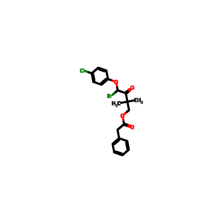 CC(C)(COC(=O)Cc1ccccc1)C(=O)C(Br)Oc1ccc(Cl)cc1